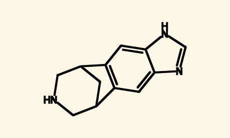 c1nc2cc3c(cc2[nH]1)C1CNCC3C1